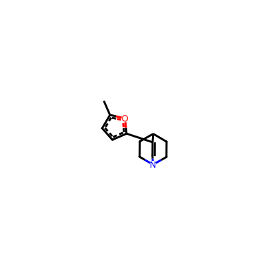 Cc1ccc(C2=CN3CCC2CC3)o1